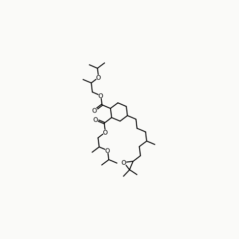 CC(CCCC1CCC(C(=O)OCC(C)OC(C)C)C(C(=O)OCC(C)OC(C)C)C1)CCC1OC1(C)C